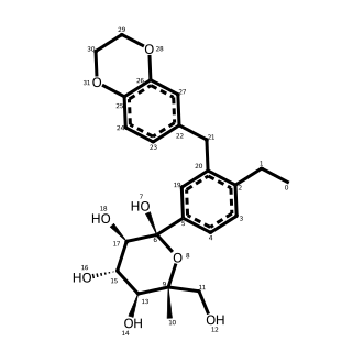 CCc1ccc([C@]2(O)O[C@](C)(CO)[C@@H](O)[C@H](O)[C@H]2O)cc1Cc1ccc2c(c1)OCCO2